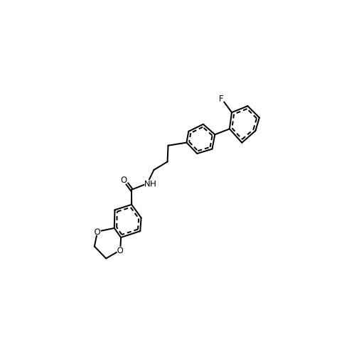 O=C(NCCCc1ccc(-c2ccccc2F)cc1)c1ccc2c(c1)OCCO2